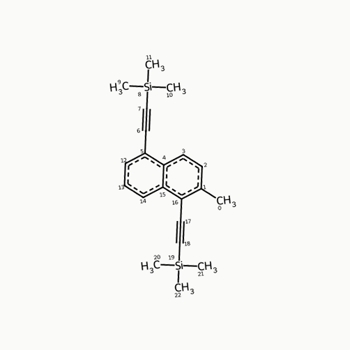 Cc1ccc2c(C#C[Si](C)(C)C)cccc2c1C#C[Si](C)(C)C